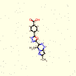 Cc1cc2nnc(-c3nnc(-c4ccc(C(=O)O)cc4)o3)c(C)n2n1